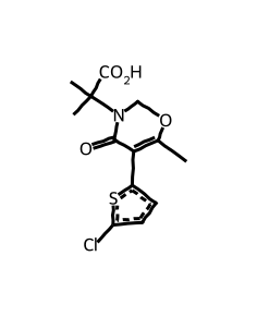 CC1=C(c2ccc(Cl)s2)C(=O)N(C(C)(C)C(=O)O)CO1